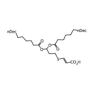 CCCCCCCCCCCCCCCC(=O)OC(CCS/C=C/C(=O)O)OC(=O)CCCCCCCCCCCCCCC